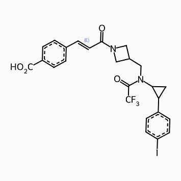 O=C(O)c1ccc(/C=C/C(=O)N2CC(CN(C(=O)C(F)(F)F)C3CC3c3ccc(I)cc3)C2)cc1